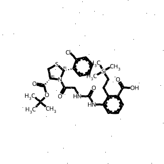 CC(C)(C)OC(=O)[C@@H]1CS[C@H](c2ccccc2Cl)N1C(=O)CNC(=O)Nc1cccc(C(=O)O)c1CC[Si](C)(C)C